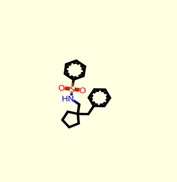 O=S(=O)(NCC1(Cc2ccccc2)CCCC1)c1ccccc1